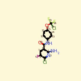 Nc1nc(Cl)c(I)cc1C(=O)Nc1ccc(OC(F)(F)Cl)cc1